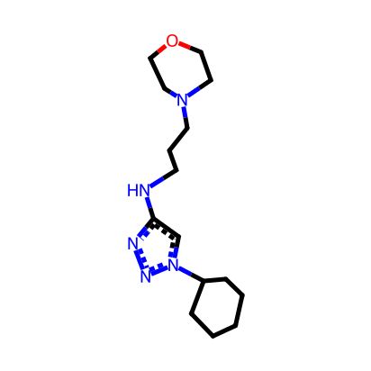 c1c(NCCCN2CCOCC2)nnn1C1CCCCC1